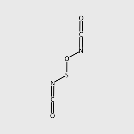 O=C=NOSN=C=O